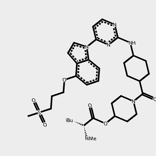 CC[C@@H](C)[C@@H](NC)C(=O)OC1CCN(C(=O)C2CCC(Nc3nccc(-n4ccc5c(OCCCS(C)(=O)=O)cccc54)n3)CC2)CC1